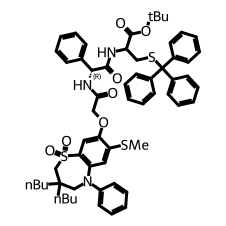 CCCCC1(CCCC)CN(c2ccccc2)c2cc(SC)c(OCC(=O)N[C@@H](C(=O)NC(CSC(c3ccccc3)(c3ccccc3)c3ccccc3)C(=O)OC(C)(C)C)c3ccccc3)cc2S(=O)(=O)C1